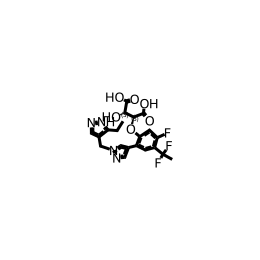 CCc1[nH]ncc1Cn1cc(-c2cc(C(C)(F)F)c(F)cc2O[C@H](C(=O)O)[C@H](O)C(=O)O)cn1